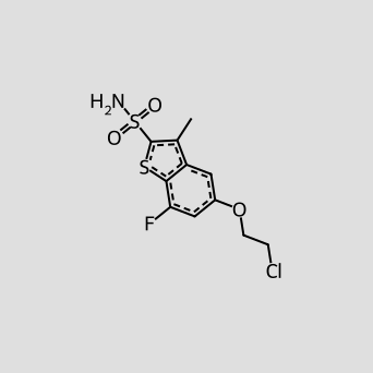 Cc1c(S(N)(=O)=O)sc2c(F)cc(OCCCl)cc12